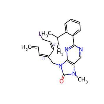 C=C/C=C(\C=C/CI)Cn1c(=O)n(C)c2cnc(-c3ccccc3C(C)C)nc21